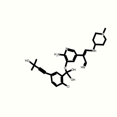 CN1CCC(N/C=C(\C=N)c2cnc(N)c(OC(O)(O)c3cc(C#CC(C)(C)O)ccc3Cl)c2)CC1